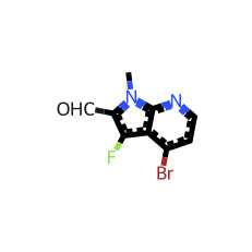 Cn1c(C=O)c(F)c2c(Br)ccnc21